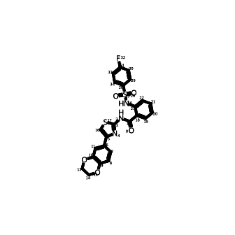 O=C(Nc1nc(-c2ccc3c(c2)OCCO3)cs1)c1ccccc1NS(=O)(=O)c1ccc(F)cc1